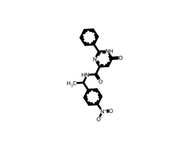 CC(NC(=O)c1cc(=O)[nH]c(-c2ccccc2)n1)c1ccc([N+](=O)[O-])cc1